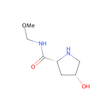 COCNC(=O)[C@H]1C[C@@H](O)CN1